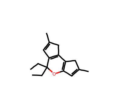 CCC1(CC)OC2=C(CC(C)=C2)C2=C1C=C(C)C2